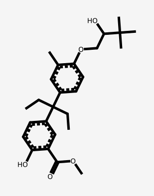 CCC(CC)(c1ccc(OCC(O)C(C)(C)C)c(C)c1)c1ccc(O)c(C(=O)OC)c1